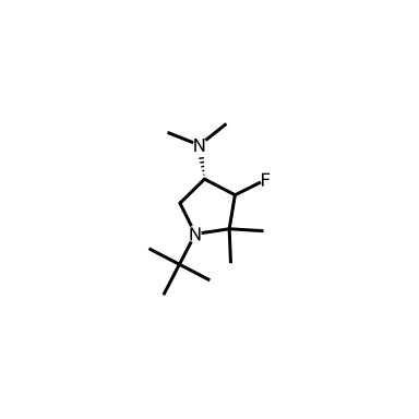 CN(C)[C@H]1CN(C(C)(C)C)C(C)(C)C1F